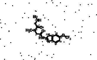 CCNCC(=O)N(C)CC(=O)Nc1nc2ccc(OC(F)(F)F)cc2s1